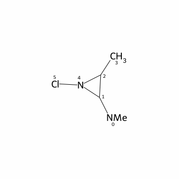 CNC1C(C)N1Cl